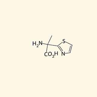 CC(N)(C(=O)O)c1nccs1